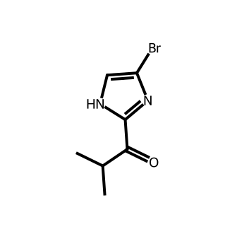 CC(C)C(=O)c1nc(Br)c[nH]1